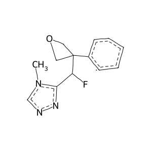 Cn1cnnc1C(F)C1(c2[c]cccc2)COC1